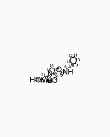 COC(CC(=O)NCCc1ccccc1)C1CCCN1C(=O)CCO